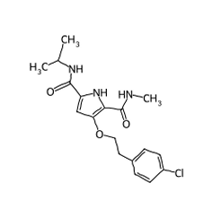 CNC(=O)c1[nH]c(C(=O)NC(C)C)cc1OCCc1ccc(Cl)cc1